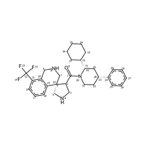 O=C(C1CNC[C@]12CNCc1c(C(F)(F)F)cccc12)N1CC[C@@H](c2ccccc2)C[C@H]1C1CCCCC1